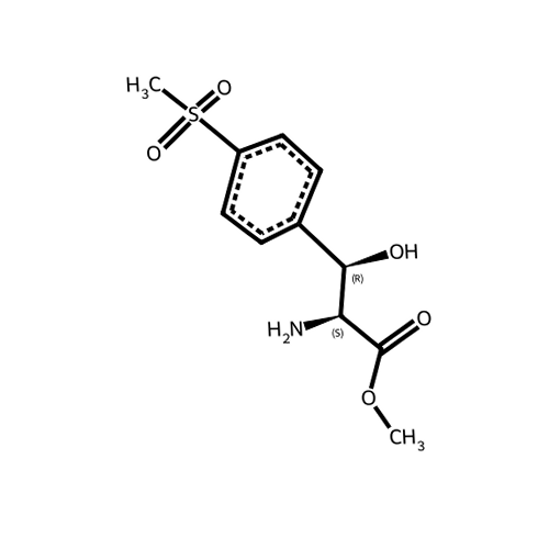 COC(=O)[C@@H](N)[C@H](O)c1ccc(S(C)(=O)=O)cc1